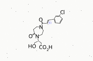 O=C(O)CC(CO)N1CCN(C(=O)/C=C/c2cccc(Cl)c2)CCC1=O